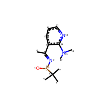 CC(=N[S+]([O-])C(C)(C)C)c1cccnc1N(C)C